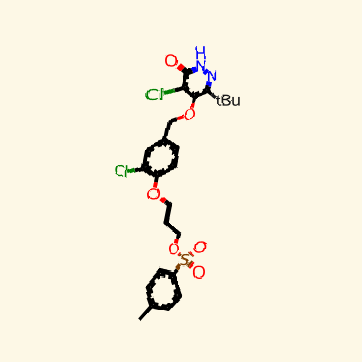 Cc1ccc(S(=O)(=O)OCCCOc2ccc(COc3c(C(C)(C)C)n[nH]c(=O)c3Cl)cc2Cl)cc1